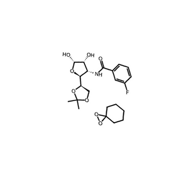 C1CCC2(CC1)OO2.CC1(C)OC[C@H]([C@H]2O[C@H](O)[C@H](O)[C@@H]2NC(=O)c2cccc(F)c2)O1